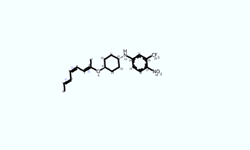 C/C=C/C=C\C=C(/C)O[C@H]1CC[C@H](Nc2ccc([N+](=O)[O-])c(C(F)(F)F)c2)CC1